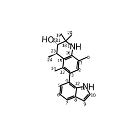 Cc1cc(-c2cccc3cc[nH]c23)c(C)c2c1NC(C)(C)[C@@H](O)[C@@H]2C